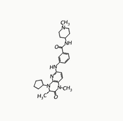 C[C@@H]1C(=O)N(C)c2ccc(Nc3cccc(C(=O)NC4CCN(C)CC4)c3)nc2N1C1CCCC1